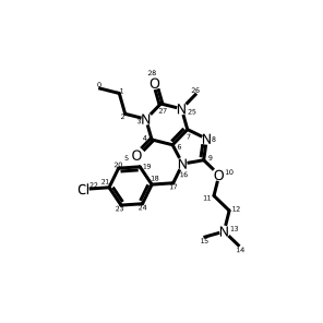 CCCn1c(=O)c2c(nc(OCCN(C)C)n2Cc2ccc(Cl)cc2)n(C)c1=O